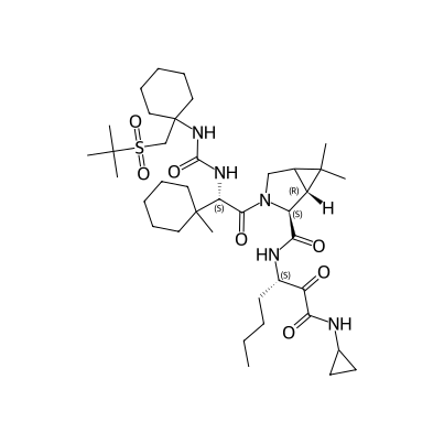 CCCC[C@H](NC(=O)[C@@H]1[C@@H]2C(CN1C(=O)[C@@H](NC(=O)NC1(CS(=O)(=O)C(C)(C)C)CCCCC1)C1(C)CCCCC1)C2(C)C)C(=O)C(=O)NC1CC1